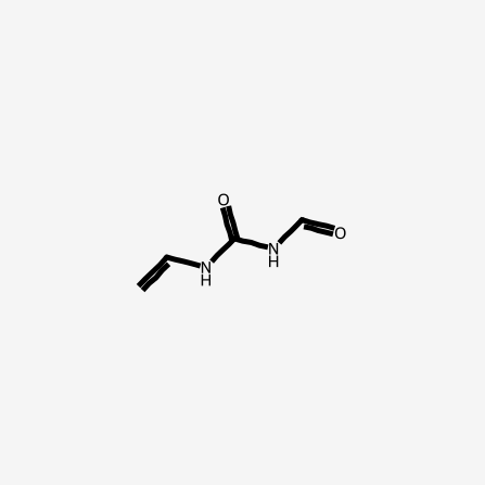 C=CNC(=O)NC=O